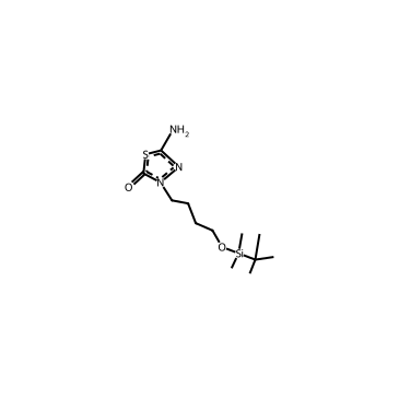 CC(C)(C)[Si](C)(C)OCCCCn1nc(N)sc1=O